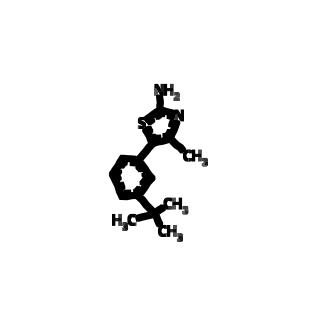 Cc1nc(N)sc1-c1cccc(C(C)(C)C)c1